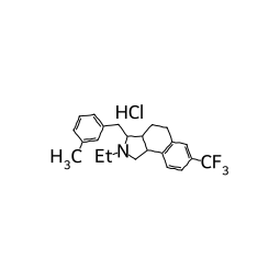 CCN1CC2c3ccc(C(F)(F)F)cc3CCC2C1Cc1cccc(C)c1.Cl